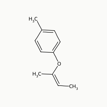 C/C=C(/C)Oc1ccc(C)cc1